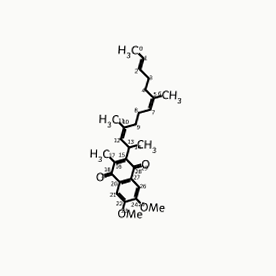 CC=CCCC(C)=CCCC(C)=CC(C)C1=C(C)C(=O)c2cc(OC)c(OC)cc2C1=O